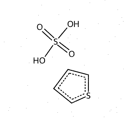 O=S(=O)(O)O.c1ccsc1